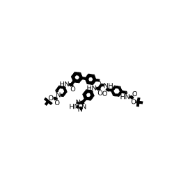 CC(C)(C)OC(=O)NCC1CCC(C(=O)N[C@@H](Cc2ccc(-c3cccc(C(=O)NC4CCN(C(=O)OC(C)(C)C)CC4)c3)cc2)C(=O)Nc2ccc(-c3nn[nH]n3)cc2)CC1